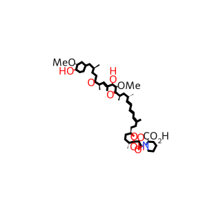 CO[C@@H]1CC(C[C@@H](C)CCC(=O)[C@H](C)/C=C(\C)[C@@H](O)[C@@H](OC)C(=O)[C@H](C)C[C@H](C)/C=C/C=C/C=C(\C)CC[C@@H]2CC[C@@H](C)[C@](O)(C(=O)C(=O)N3CCCC[C@H]3C(=O)O)O2)CC[C@H]1O